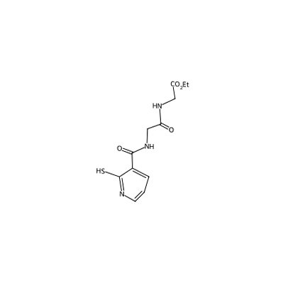 CCOC(=O)CNC(=O)CNC(=O)c1cccnc1S